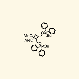 COC1(OC)C[C@H](CO[Si](c2ccccc2)(c2ccccc2)C(C)(C)C)[C@H]1CO[Si](c1ccccc1)(c1ccccc1)C(C)(C)C